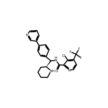 O=C(NC(c1ccc(-c2cccnc2)cc1)[C@@H]1CCCCN1)c1nccc(C(F)(F)F)c1Cl